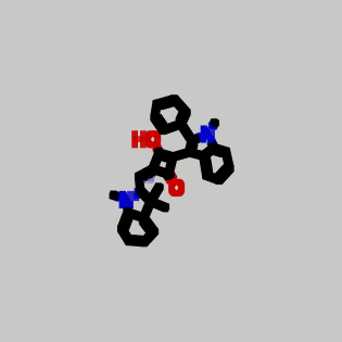 Cn1c(-c2ccccc2)c(C2=C(O)/C(=C/C3=[N+](C)c4ccccc4C3(C)C)C2=O)c2ccccc21